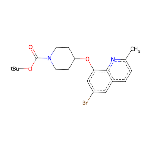 Cc1ccc2cc(Br)cc(OC3CCN(C(=O)OC(C)(C)C)CC3)c2n1